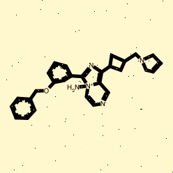 N[N+]12C=CN=CC1=C(C1CC(CN3CC=CC3)C1)N=C2c1cccc(OCc2ccccc2)c1